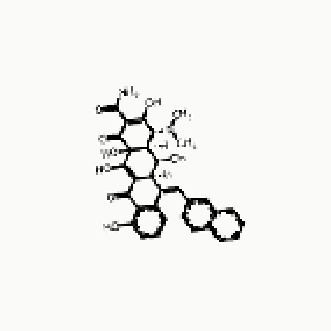 CN(C)[C@H]1C(O)=C(C(N)=O)C(=O)[C@@]2(O)C(O)=C3C(=O)c4c(O)cccc4/C(=C\c4ccc5ccccc5c4)[C@@H]3[C@H](O)[C@H]12